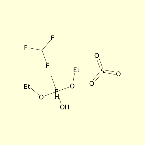 CCO[PH](C)(O)OCC.FC(F)F.O=S(=O)=O